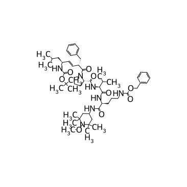 CON1C(C)(C)CC(NC(=O)[C@H](CCCNC(=O)OCc2ccccc2)NC(=O)[C@@H](NC(=O)[C@@H]2CCCN2C(=O)[C@H](/C=C/[C@H](CC(C)C)NC(=O)OC(C)(C)C)Cc2ccccc2)C(C)C)CC1(C)C